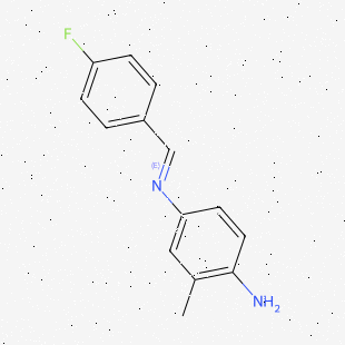 Cc1cc(/N=C/c2ccc(F)cc2)ccc1N